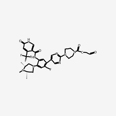 C[C@@H]1CN(c2cc(F)c(-c3cnc(N4CCN(C(=O)CCC=O)CC4)nc3)cc2NC(=O)c2c[nH]c(=O)cc2C(F)(F)F)C[C@H](C)N1C